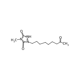 CC(=O)CCCCCCCn1[nH]c(=O)n(C)c1=O